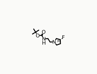 CC(C)(C)OC(=O)NCCN1CC[C@@H](F)C1